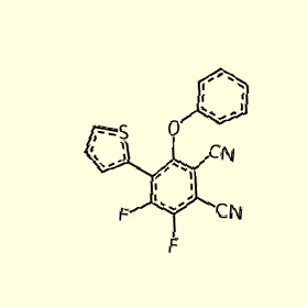 N#Cc1c(F)c(F)c(-c2cccs2)c(Oc2ccccc2)c1C#N